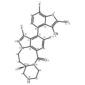 N#Cc1c(N)sc2c(F)ccc(-c3c(F)cc4c5c3c(F)nn5CC[C@H]3CNCCN3C4=O)c12